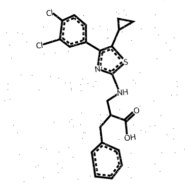 O=C(O)C(CNc1nc(-c2ccc(Cl)c(Cl)c2)c(C2CC2)s1)Cc1ccccc1